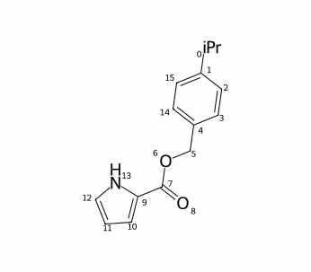 CC(C)c1ccc(COC(=O)c2ccc[nH]2)cc1